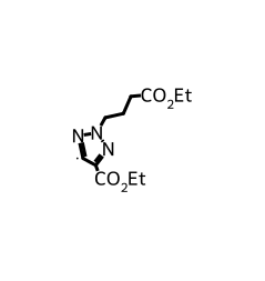 CCOC(=O)CCCn1n[c]c(C(=O)OCC)n1